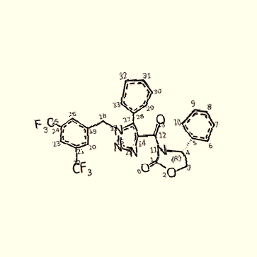 O=C1OC[C@@H](c2ccccc2)N1C(=O)c1nnn(Cc2cc(C(F)(F)F)cc(C(F)(F)F)c2)c1-c1ccccc1